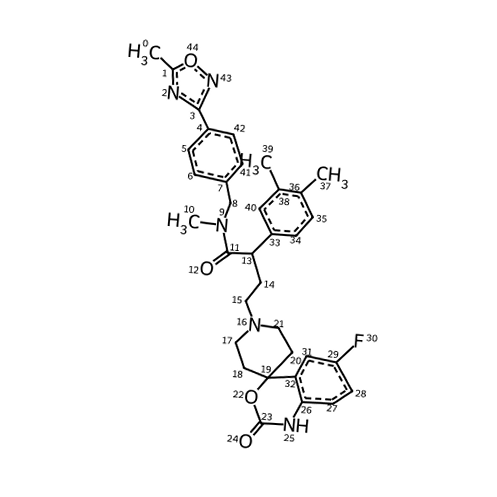 Cc1nc(-c2ccc(CN(C)C(=O)C(CCN3CCC4(CC3)OC(=O)Nc3ccc(F)cc34)c3ccc(C)c(C)c3)cc2)no1